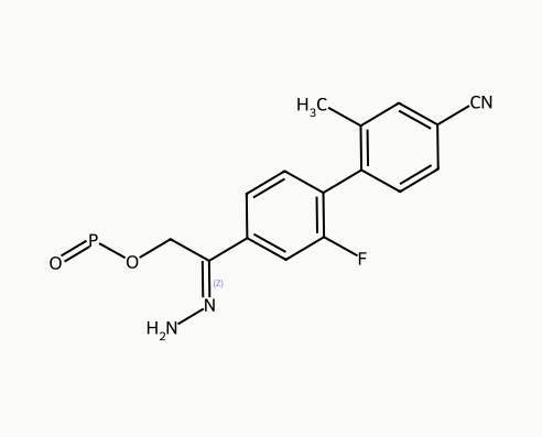 Cc1cc(C#N)ccc1-c1ccc(/C(COP=O)=N/N)cc1F